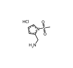 CS(=O)(=O)n1cccc1CN.Cl